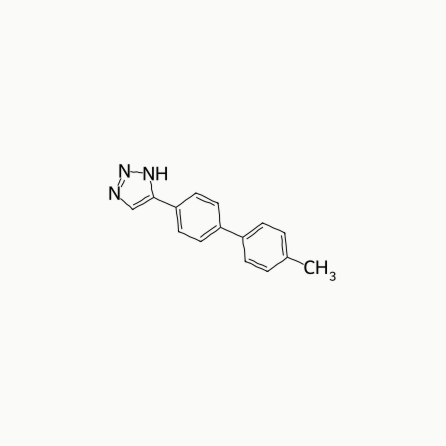 Cc1ccc(-c2ccc(-c3cnn[nH]3)cc2)cc1